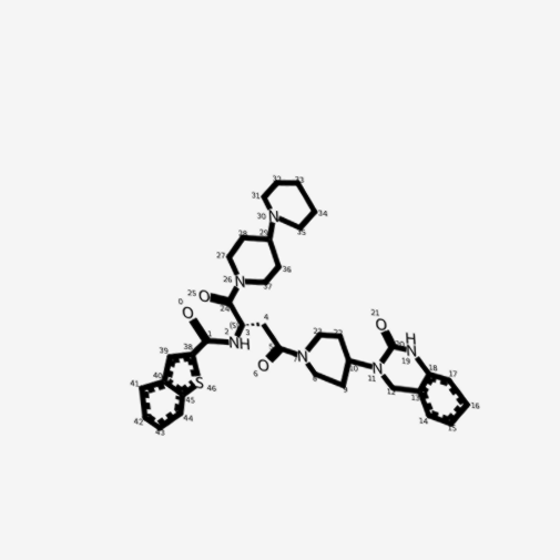 O=C(N[C@@H](CC(=O)N1CCC(N2Cc3ccccc3NC2=O)CC1)C(=O)N1CCC(N2CCCCC2)CC1)c1cc2ccccc2s1